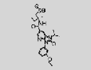 CCOc1cccc(-n2c(=O)n(C(C)C)c3cc(C(=O)N[C@@](C)(CC)C[SH](=O)=O)cnc32)c1